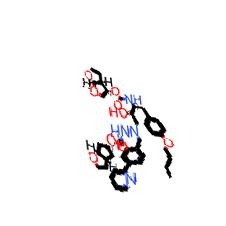 CCCCOc1ccc(C[C@H](NC(=O)O[C@H]2CO[C@H]3OCC[C@H]32)[C@@H](O)CN(Cc2ccc(-c3ccccn3)cc2)NC(=O)O[C@@H]2C[C@@H]3CCO[C@@H]3C2)cc1